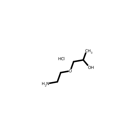 CC(O)COCCN.Cl